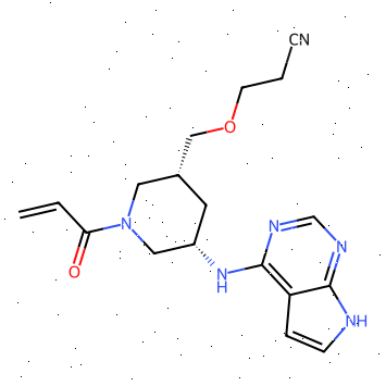 C=CC(=O)N1C[C@H](COCCC#N)C[C@H](Nc2ncnc3[nH]ccc23)C1